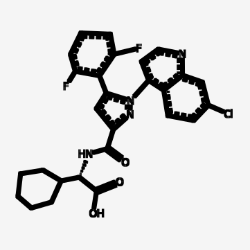 O=C(N[C@H](C(=O)O)C1CCCCC1)c1cc(-c2c(F)cccc2F)n(-c2ccnc3cc(Cl)ccc23)n1